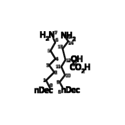 CCCCCCCCCCCCCCCCN.CCCCCCCCCCCCCCCCN.O=C(O)O